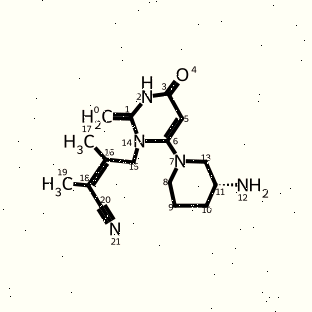 C=C1NC(=O)C=C(N2CCC[C@@H](N)C2)N1C/C(C)=C(/C)C#N